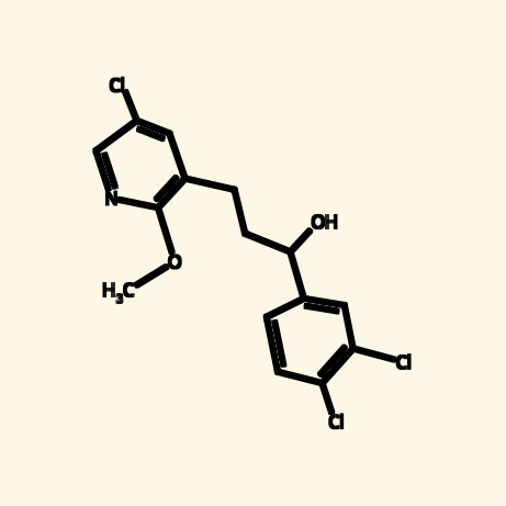 COc1ncc(Cl)cc1CCC(O)c1ccc(Cl)c(Cl)c1